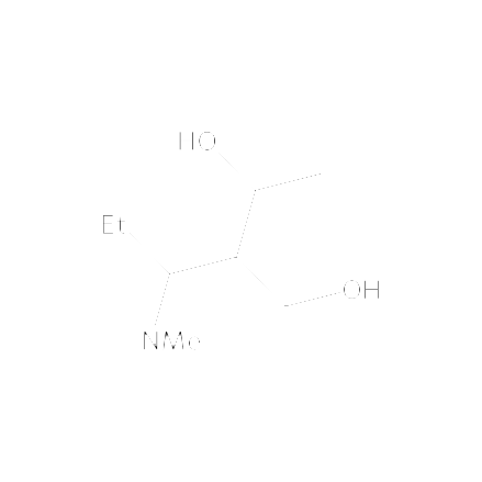 CCC(NC)C(CO)C(C)O